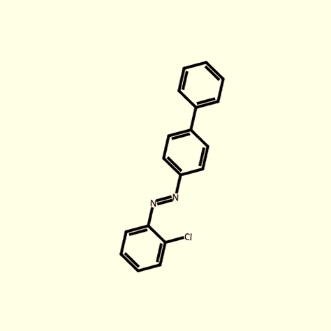 Clc1ccccc1N=Nc1ccc(-c2ccccc2)cc1